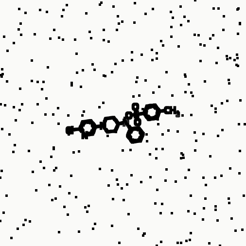 Cc1ccc(S(=O)(=O)ON(c2ccccc2)C2CCN(c3ccc(Cl)nc3)CC2)cc1